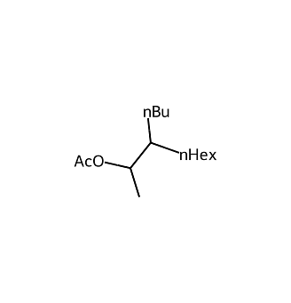 CCCCCCC(CCCC)C(C)OC(C)=O